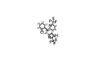 FC(F)(F)c1ccc2c(n1)N(c1ccccc1Cl)Cc1nc(C(F)(F)F)[nH]c1-2